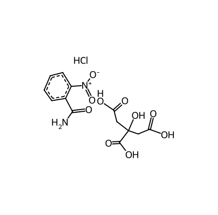 Cl.NC(=O)c1ccccc1[N+](=O)[O-].O=C(O)CC(O)(CC(=O)O)C(=O)O